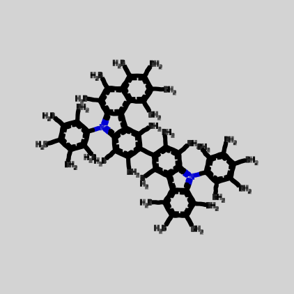 Bc1c(B)c(B)c(-n2c3c(B)c(B)c(B)c(B)c3c3c(B)c(-c4c(B)c(B)c5c(c4B)c4c6c(B)c(B)c(B)c(B)c6c(B)c(B)c4n5-c4c(B)c(B)c(B)c(B)c4B)c(B)c(B)c32)c(B)c1B